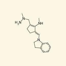 CNC1=C(CN(C)N)CC/C1=C\N1CCc2ccccc21